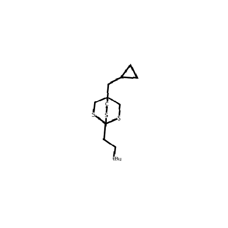 CC(C)(C)CCC12SCC(CC3CC3)(CS1)CS2